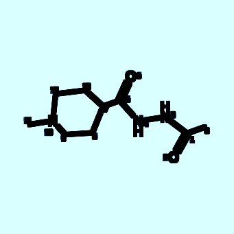 CC(=O)NNC(=O)C1CCN(C)CC1